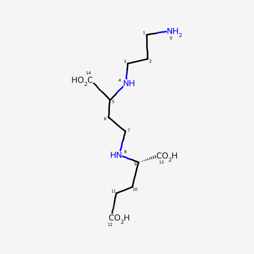 NCCCNC(CCN[C@@H](CCC(=O)O)C(=O)O)C(=O)O